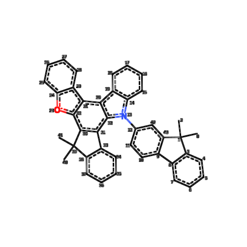 CC1(C)c2ccccc2-c2ccc(-n3c4ccccc4c4c5c(oc6ccccc65)c5c(c43)-c3ccccc3C5(C)C)cc21